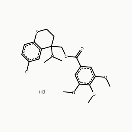 COc1cc(C(=O)OCC2(N(C)C)CCSc3ccc(Cl)cc32)cc(OC)c1OC.Cl